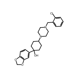 OC1(c2ccc3c(c2)OCO3)CCC(N2CCN(Cc3ccccc3Cl)CC2)CC1